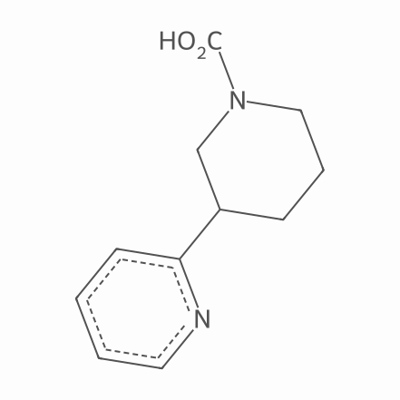 O=C(O)N1CCCC(c2ccccn2)C1